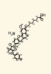 COc1cc2c(Oc3ccc(NC(=O)C4(C(=O)Nc5ccc(F)cc5)CC4)cc3F)ccnc2cc1OCCCCCCC(=O)O.N